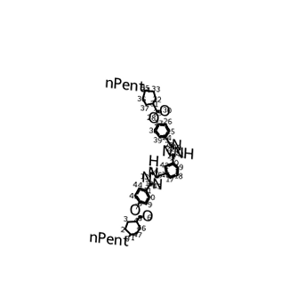 CCCCCC1CCC(C(=O)Oc2ccc(-c3n[nH]c(-c4cccc(-c5nc(-c6ccc(OC(=O)C7CCC(CCCCC)CC7)cc6)n[nH]5)c4)n3)cc2)CC1